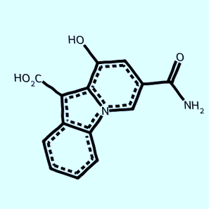 NC(=O)c1cc(O)c2c(C(=O)O)c3ccccc3n2c1